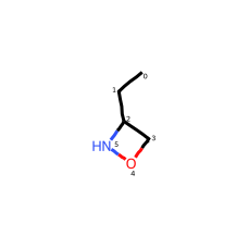 CCC1[CH]ON1